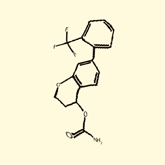 NC(=O)OC1CCOc2cc(-c3ccccc3C(F)(F)F)ccc21